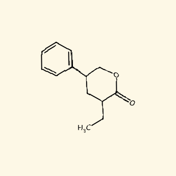 CCC1CC(c2ccccc2)COC1=O